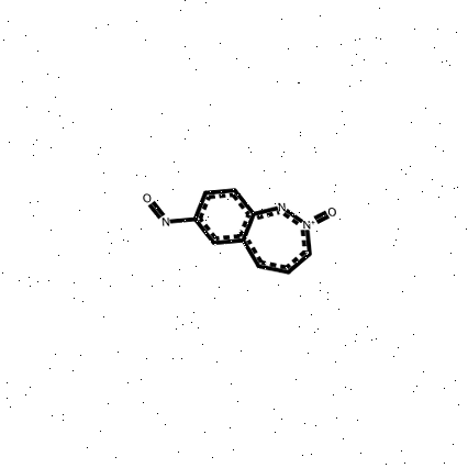 O=Nc1ccc2n[n+](=O)cccc2c1